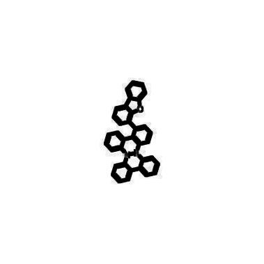 c1ccc2c(c1)B1c3cccc(-c4cccc5c4oc4ccccc45)c3-c3ccccc3N1c1ccccc1-2